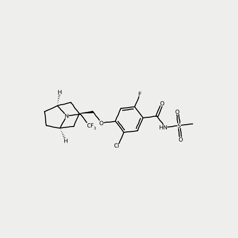 CS(=O)(=O)NC(=O)c1cc(Cl)c(OC[C@H]2C[C@H]3CC[C@@H](C2)N3CC(F)(F)F)cc1F